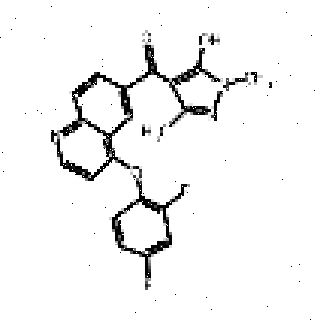 Cc1nn(C)c(O)c1C(=O)c1ccc2nccc(Oc3ccc(F)cc3F)c2c1